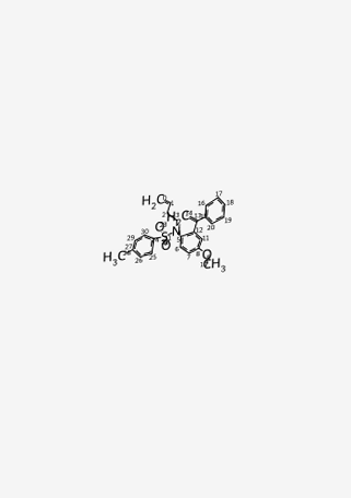 C=CCCN(c1ccc(OC)cc1C(=C)c1ccccc1)S(=O)(=O)c1ccc(C)cc1